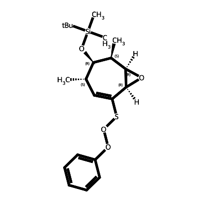 C[C@H]1[C@H]2O[C@H]2C(SOOc2ccccc2)=C[C@H](C)[C@H]1O[Si](C)(C)C(C)(C)C